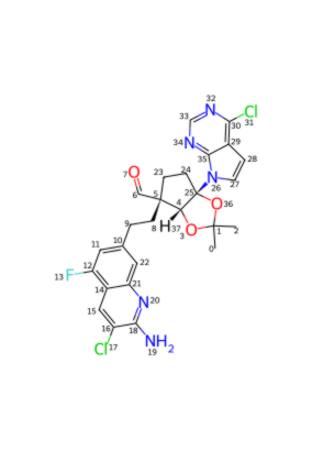 CC1(C)O[C@@H]2[C@@](C=O)(CCc3cc(F)c4cc(Cl)c(N)nc4c3)CC[C@]2(n2ccc3c(Cl)ncnc32)O1